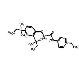 [CH2]Cc1ccc(NC(=O)COc2ccc(C(C)(C)CC)cc2C(C)(C)CC)cc1